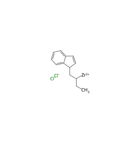 CC[CH]([Zr+2])CC1C=Cc2ccccc21.[Cl-].[Cl-]